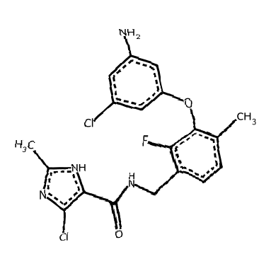 Cc1nc(Cl)c(C(=O)NCc2ccc(C)c(Oc3cc(N)cc(Cl)c3)c2F)[nH]1